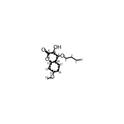 CCCCOc1c(O)c(=O)oc2cc(OC)ccc12